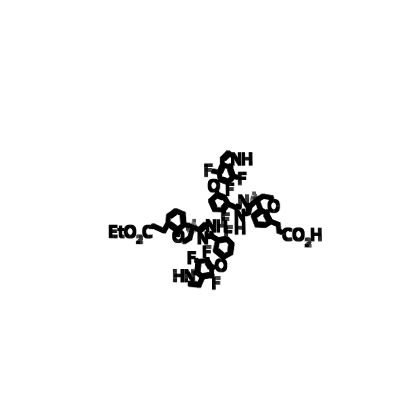 CCOC(=O)CCc1cccc2c1OCC[C@]2(C)c1c[nH]c(-c2cc(Oc3c(F)c(F)c4[nH]ccc4c3F)ccc2F)n1.C[C@]1(c2c[nH]c(-c3cc(Oc4c(F)c(F)c5[nH]ccc5c4F)ccc3F)n2)CCOc2c(CCC(=O)O)cccc21